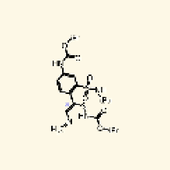 C=N/C=C(\SNC(=O)OC(C)C)c1ccc(NC(=O)OC(C)C)cc1S(=O)(=O)NC(C)(C)C